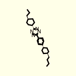 CCCC[C@H]1CC[C@H](c2ccc(-c3nnc([C@H]4CC[C@H](CCC)CC4)nn3)cc2)CC1